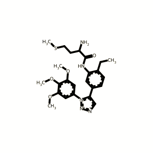 CCc1ccc(-c2cnnn2-c2cc(OC)c(OC)c(OC)c2)cc1NC(=O)C(N)CCSC